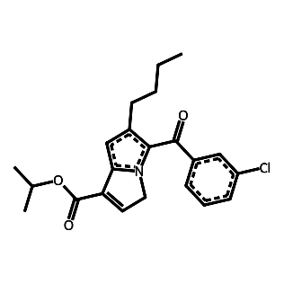 CCCCc1cc2n(c1C(=O)c1cccc(Cl)c1)CC=C2C(=O)OC(C)C